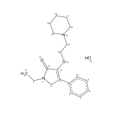 CCN1CC(c2ccccc2)=C(OCCN2CCCCC2)C1=O.Cl